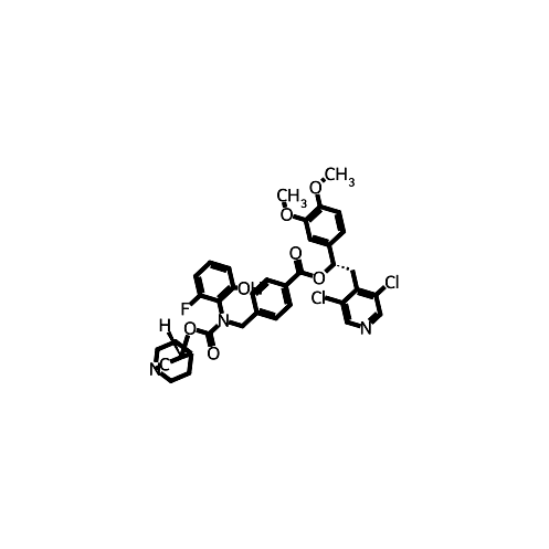 COc1ccc([C@H](Cc2c(Cl)cncc2Cl)OC(=O)c2ccc(CN(C(=O)O[C@H]3CN4CCC3CC4)c3c(O)cccc3F)cc2)cc1OC